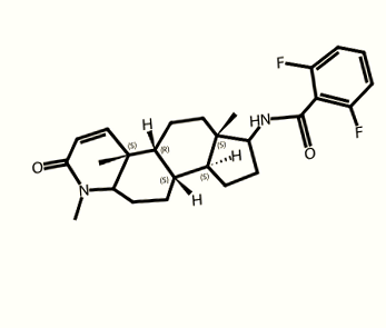 CN1C(=O)C=C[C@@]2(C)C1CC[C@@H]1[C@H]2CC[C@]2(C)C(NC(=O)c3c(F)cccc3F)CC[C@@H]12